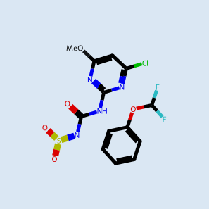 COc1cc(Cl)nc(NC(=O)N=S(=O)=O)n1.FC(F)Oc1ccccc1